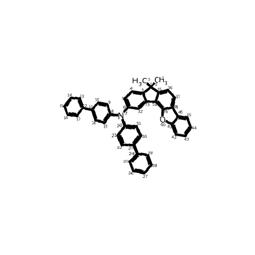 CC1(C)c2ccc(N(c3ccc(-c4ccccc4)cc3)c3ccc(-c4ccccc4)cc3)cc2-c2c1ccc1c2oc2ccccc21